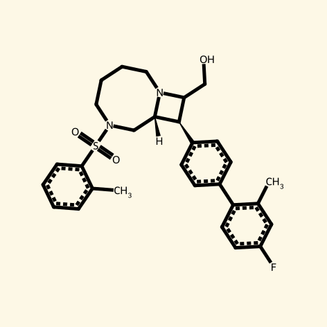 Cc1cc(F)ccc1-c1ccc([C@@H]2C(CO)N3CCCCN(S(=O)(=O)c4ccccc4C)C[C@@H]23)cc1